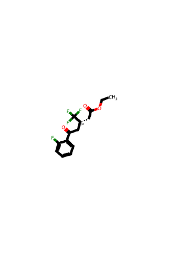 CCOC(=O)C[C@H](CC(=O)c1ccccc1F)C(F)(F)F